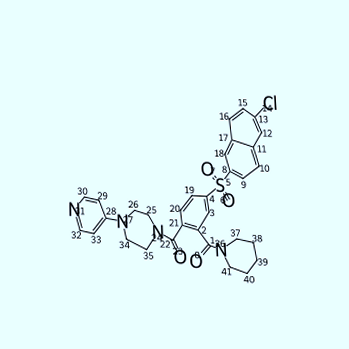 O=C(c1cc(S(=O)(=O)c2ccc3cc(Cl)ccc3c2)ccc1C(=O)N1CCN(c2ccncc2)CC1)N1CCCCC1